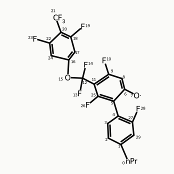 CCCc1ccc(-c2c([O])cc(F)c(C(F)(F)Oc3cc(F)c(C(F)(F)F)c(F)c3)c2F)c(F)c1